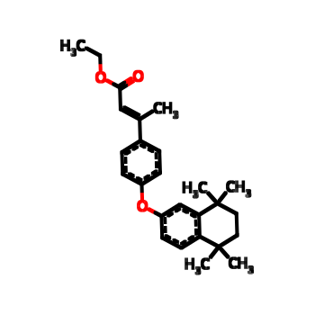 CCOC(=O)/C=C(\C)c1ccc(Oc2ccc3c(c2)C(C)(C)CCC3(C)C)cc1